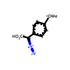 COc1ccc(C(=[N+]=[N-])C(=O)O)cc1